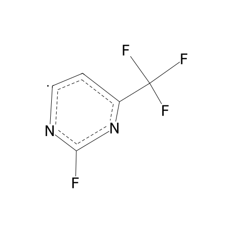 Fc1n[c]cc(C(F)(F)F)n1